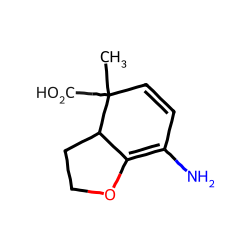 CC1(C(=O)O)C=CC(N)=C2OCCC21